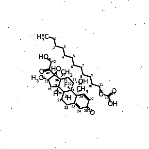 CCCCCCCCCCCCOC(=O)O.C[C@@H]1C[C@H]2[C@@H]3CCC4=CC(=O)C=C[C@]4(C)[C@@]3(F)[C@@H](O)C[C@]2(C)[C@@]1(O)C(=O)CO